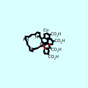 O=C(O)c1ccc(-c2c(-c3ccc(C(=O)O)cc3)c3c(-c4ccc(C(=O)O)cc4)c4nc(cc5ccc(cc6nc(cc2n3-c2ccc(C(=O)O)cc2)C=C6)[nH]5)C=C4)cc1.[Co]